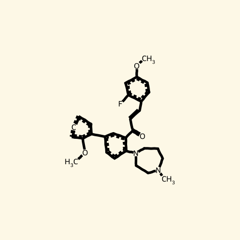 COc1ccc(C=CC(=O)c2cc(-c3ccccc3OC)ccc2N2CCCN(C)CC2)c(F)c1